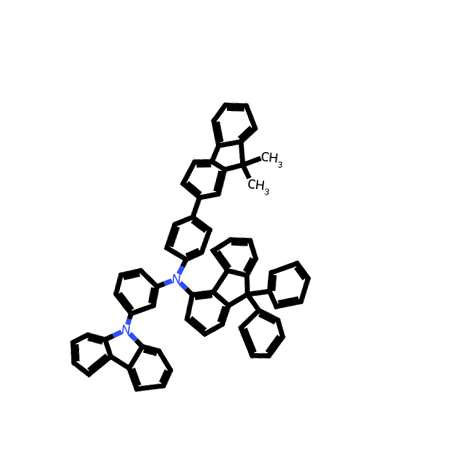 CC1(C)c2ccccc2-c2ccc(-c3ccc(N(c4cccc(-n5c6ccccc6c6ccccc65)c4)c4cccc5c4-c4ccccc4C5(c4ccccc4)c4ccccc4)cc3)cc21